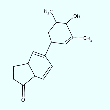 CC1=CC(C2=CC3CCC(=O)C3C=C2)CC(C)C1O